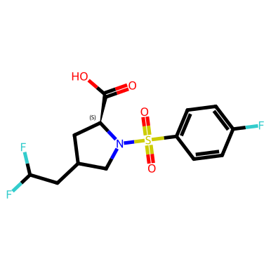 O=C(O)[C@@H]1CC(CC(F)F)CN1S(=O)(=O)c1ccc(F)cc1